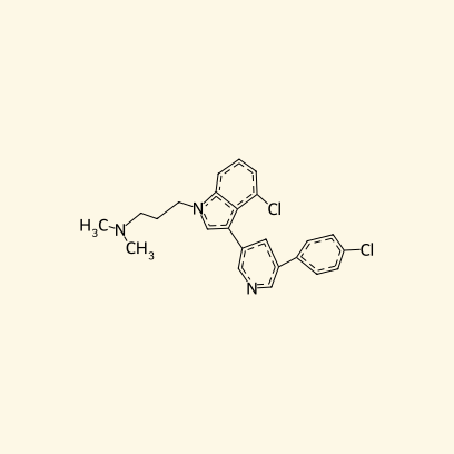 CN(C)CCCn1cc(-c2cncc(-c3ccc(Cl)cc3)c2)c2c(Cl)cccc21